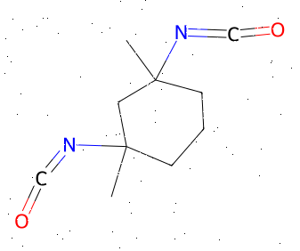 CC1(N=C=O)CCCC(C)(N=C=O)C1